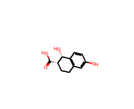 O=C(O)[C@H]1CCc2cc(O)ccc2[C@H]1O